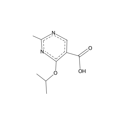 Cc1ncc(C(=O)O)c(OC(C)C)n1